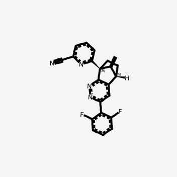 C=C1[C@@H]2CC[C@@]1(c1cccc(C#N)n1)c1nnc(-c3c(F)cccc3F)cc12